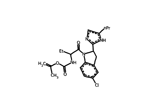 C=C(C)OC(=O)NC(CC)C(=O)N1c2ccc(Cl)cc2CC1c1ncc(CCC)[nH]1